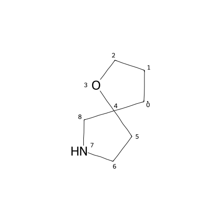 [CH]1CCOC12CCNC2